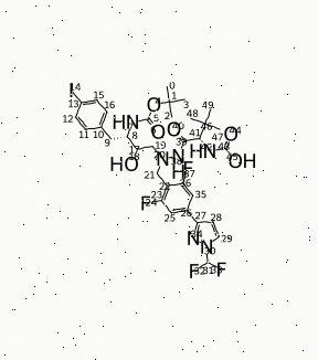 CC(C)(C)OC(=O)N[C@@H](Cc1ccc(I)cc1)[C@@H](O)CN(Cc1c(F)cc(-c2ccn(C(F)F)n2)cc1F)NC(=O)[C@@H](NC(=O)O)C(C)(C)C